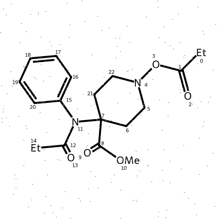 CCC(=O)ON1CCC(C(=O)OC)(N(C(=O)CC)c2ccccc2)CC1